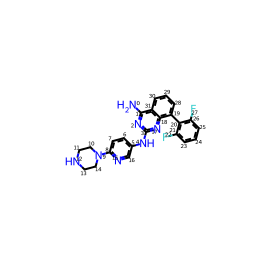 Nc1nc(Nc2ccc(N3CCNCC3)nc2)nc2c(-c3c(F)cccc3F)cccc12